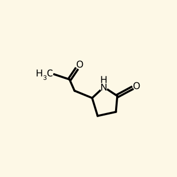 CC(=O)CC1CCC(=O)N1